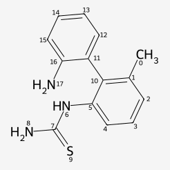 Cc1cccc(NC(N)=S)c1-c1ccccc1N